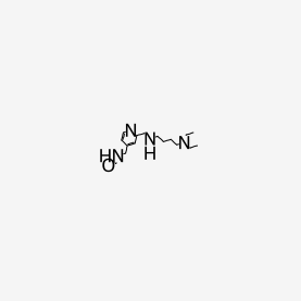 CCN(CC)CCCCNCc1cc(CNC=O)ccn1